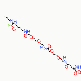 CCCN[C@@H](CCCCNC(=O)COCCOCCNC(=O)COCCOCCNC(=O)CC[C@H](N)C(=O)O)C(=O)F